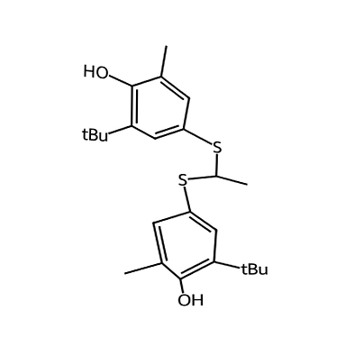 Cc1cc(SC(C)Sc2cc(C)c(O)c(C(C)(C)C)c2)cc(C(C)(C)C)c1O